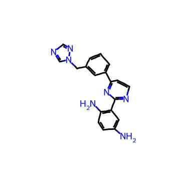 Nc1ccc(N)c(-c2nccc(-c3cccc(Cn4cncn4)c3)n2)c1